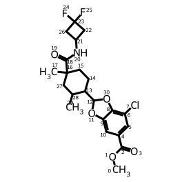 COC(=O)c1cc(Cl)c2c(c1)OC(C1CCC(C)(C(=O)NC3CC(F)(F)C3)CC1C)O2